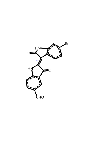 O=Cc1ccc2c(c1)C(=O)/C(=C1/C(=O)Nc3cc(Br)ccc31)N2